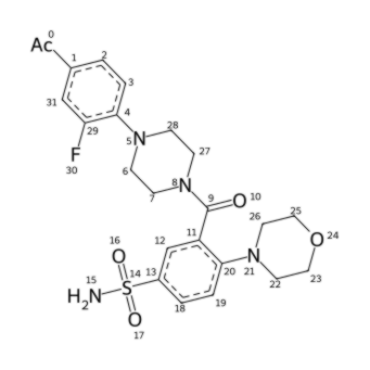 CC(=O)c1ccc(N2CCN(C(=O)c3cc(S(N)(=O)=O)ccc3N3CCOCC3)CC2)c(F)c1